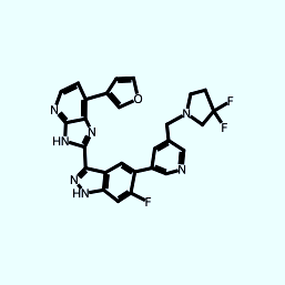 Fc1cc2[nH]nc(-c3nc4c(-c5ccoc5)ccnc4[nH]3)c2cc1-c1cncc(CN2CCC(F)(F)C2)c1